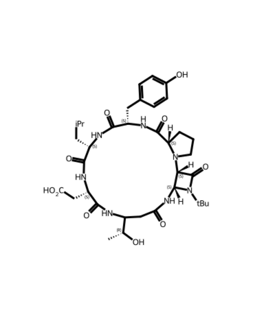 CC(C)C[C@@H]1NC(=O)[C@H](Cc2ccc(O)cc2)NC(=O)[C@@H]2CCCN2[C@@H]2C(=O)N(C(C)(C)C)[C@@H]2NC(=O)CC([C@@H](C)O)NC(=O)[C@H](CC(=O)O)NC1=O